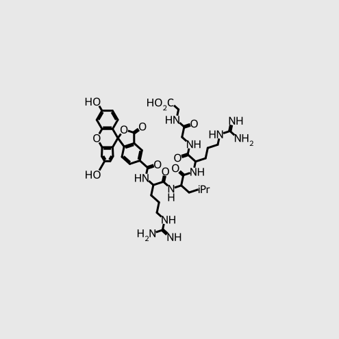 CC(C)CC(NC(=O)C(CCCNC(=N)N)NC(=O)c1ccc2c(c1)C(=O)OC21c2ccc(O)cc2Oc2cc(O)ccc21)C(=O)NC(CCCNC(=N)N)C(=O)NCC(=O)NCC(=O)O